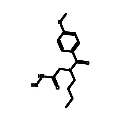 CCCCN(CC(=O)NO)C(=O)c1ccc(OC)cc1